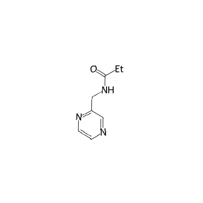 CCC(=O)NCc1cnccn1